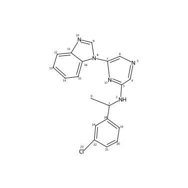 CC(Nc1cncc(-n2cnc3ccccc32)n1)c1cccc(Cl)c1